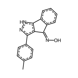 Cc1ccc(-c2n[nH]c3c2C(=NO)c2ccccc2-3)cc1